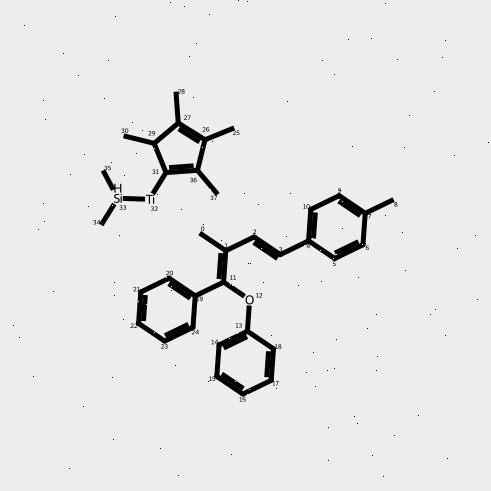 CC(C=Cc1ccc(C)cc1)=C(Oc1ccccc1)c1ccccc1.CC1=C(C)C(C)[C]([Ti][SiH](C)C)=C1C